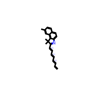 C=C/C=C/C=C/C=C/C1=Nc2ccc3ccc(C)cc3c2C1(C)C